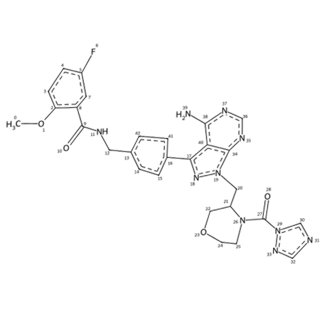 COc1ccc(F)cc1C(=O)NCc1ccc(-c2nn(CC3COCCN3C(=O)n3cncn3)c3ncnc(N)c23)cc1